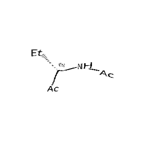 CC[C@H](NC(C)=O)C(C)=O